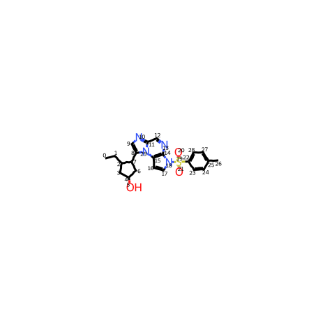 CCC1CC(O)CC1c1cnc2cnc3c(ccn3S(=O)(=O)c3ccc(C)cc3)n12